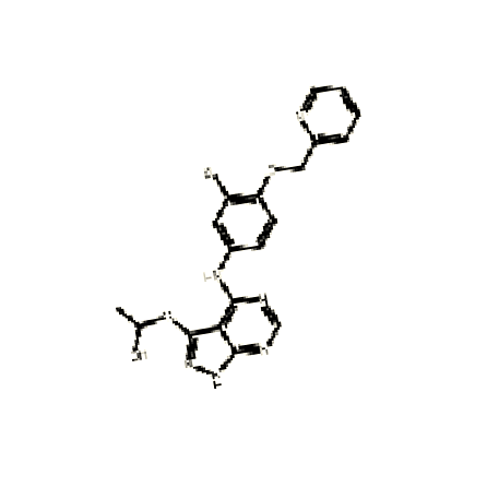 CC(O)Oc1n[nH]c2ncnc(Nc3ccc(OCc4ccccn4)c(Cl)c3)c12